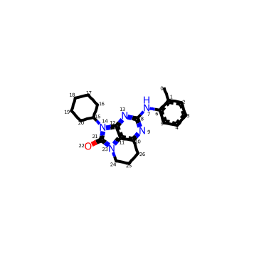 Cc1ccccc1Nc1nc2c3c(n1)n(C1CCCCC1)c(=O)n3CCC2